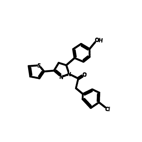 O=C(Cc1ccc(Cl)cc1)N1N=C(c2cccs2)CC1c1ccc(O)cc1